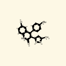 Cc1cc(-c2c(-c3ccc(C(C)(C)C)cc3)c3cc(Cl)ccc3[nH]c2=O)on1